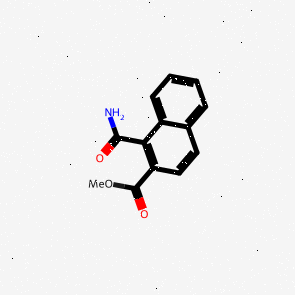 COC(=O)c1ccc2ccccc2c1C(N)=O